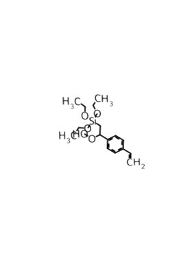 C=Cc1ccc(C(C[Si](OCC)(OCC)OCC)OO)cc1